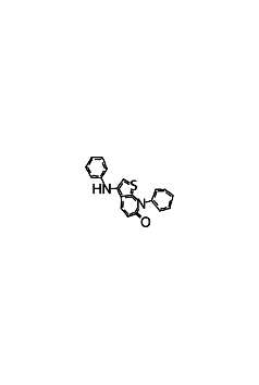 O=c1ccc2c(Nc3ccccc3)csc2n1-c1ccccc1